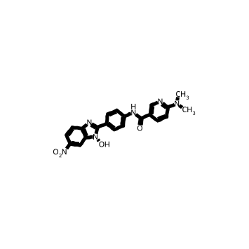 CN(C)c1ccc(C(=O)Nc2ccc(-c3nc4ccc([N+](=O)[O-])cc4n3O)cc2)cn1